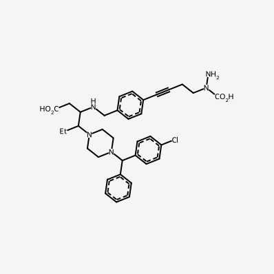 CCC(C(CC(=O)O)NCc1ccc(C#CCCN(N)C(=O)O)cc1)N1CCN(C(c2ccccc2)c2ccc(Cl)cc2)CC1